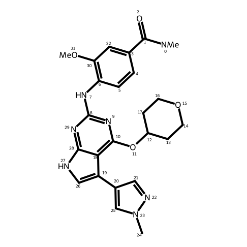 CNC(=O)c1ccc(Nc2nc(OC3CCOCC3)c3c(-c4cnn(C)c4)c[nH]c3n2)c(OC)c1